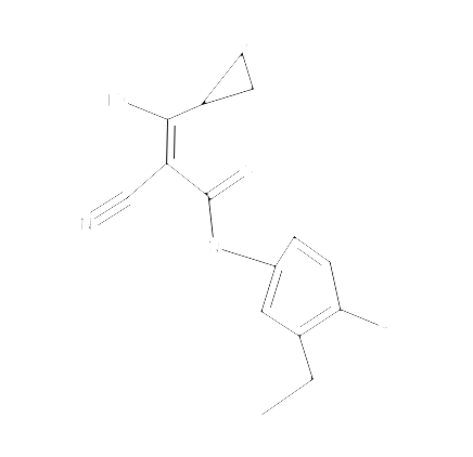 CCc1cc(NC(=S)/C(C#N)=C(/O)C2CC2)ccc1F